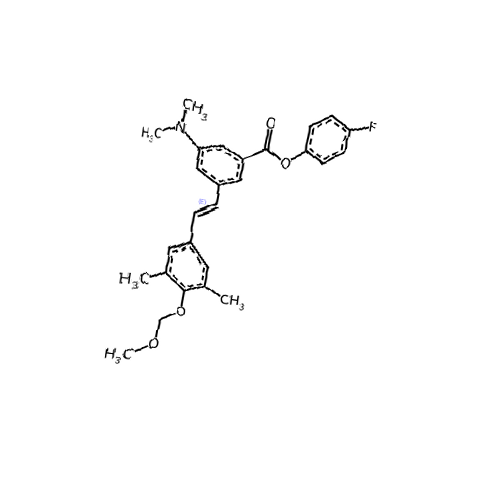 COCOc1c(C)cc(/C=C/c2cc(C(=O)Oc3ccc(F)cc3)cc(N(C)C)c2)cc1C